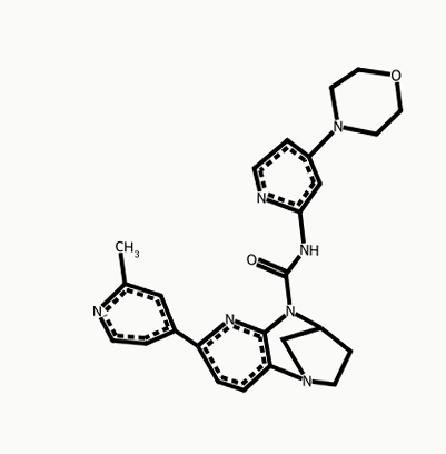 Cc1cc(-c2ccc3c(n2)N(C(=O)Nc2cc(N4CCOCC4)ccn2)C2CCN3C2)ccn1